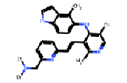 CCN(CC)Cc1cccc(C=Cc2c(C)ncc(C#N)c2Nc2ccc3[nH]ccc3c2C)n1